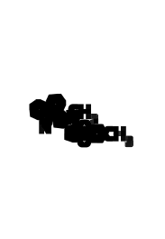 Cc1ccc(S(=O)(=O)N2CCC[C@H]2CN(C)C2CCC(C(C#N)(c3ccccc3)c3ccccc3)C2)cc1